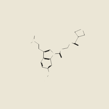 COc1ccc2c(CCN(C)C)cn(C(=O)OCOC(=O)C3CSC3)c2c1